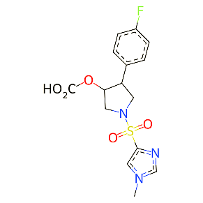 Cn1cnc(S(=O)(=O)N2CC(OC(=O)O)C(c3ccc(F)cc3)C2)c1